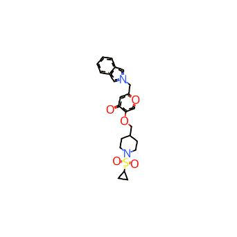 O=c1cc(Cn2cc3ccccc3c2)occ1OCC1CCN(S(=O)(=O)C2CC2)CC1